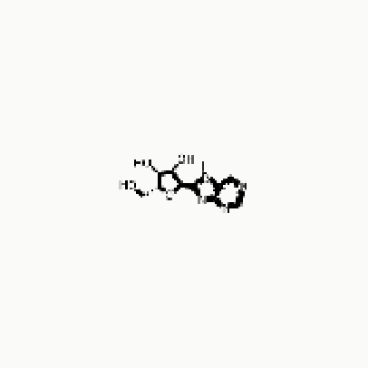 OC[C@H]1OC(c2nc3ncncc3[nH]2)[C@H](O)[C@@H]1O